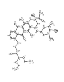 CCOC(OCC)C(=O)OCOc1cccc2c1C(=O)c1c(O)c3c(c(O)c1C2=O)C[C@@](O)(C(C)=O)C[C@@H]3OC1CC(N)C(O)C(C)O1